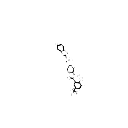 O=C(N[C@H]1CC[C@H](CNc2nc3ccccc3s2)CC1)c1cc(C(F)(F)F)ccc1Cl